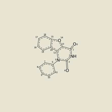 O=c1[nH]c(=O)n(-c2ccccc2)c2c1oc1ccccc12